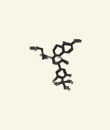 COc1ccc2c(n1)CCN(C(=O)[C@@H]1C[C@H]1CC(=O)O)[C@H]2C(=O)Nc1cc(F)c([Si](C)(C)C)c(F)c1